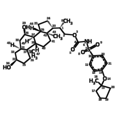 C[C@H](COC(=O)NS(=O)(=O)c1ccc(OC2(C)CCCC2)cc1)[C@H]1CC[C@H]2[C@@H]3[C@H](O)C[C@@H]4C[C@H](O)CC[C@]4(C)[C@H]3CC[C@]12C